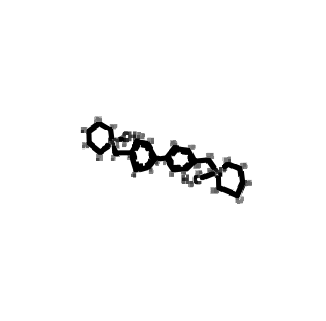 C[N+]1(Cc2ccc(-c3ccc(C[N+]4(C)CCCCC4)cc3)cc2)CCCCC1